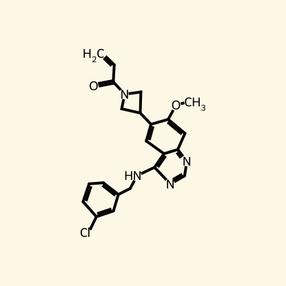 C=CC(=O)N1CC(c2cc3c(NCc4cccc(Cl)c4)ncnc3cc2OC)C1